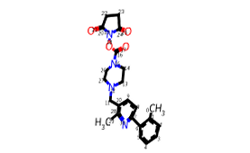 Cc1ccccc1-c1ccc(CN2CCN(C(=O)ON3C(=O)CCC3=O)CC2)c(C)n1